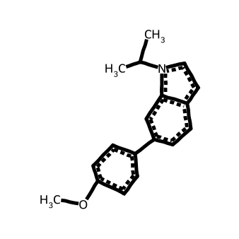 COc1ccc(-c2ccc3ccn(C(C)C)c3c2)cc1